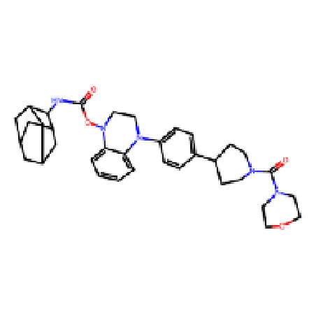 O=C(NC1C2CC3CC(C2)CC1C3)ON1CCN(c2ccc(C3CCN(C(=O)N4CCOCC4)CC3)cc2)c2ccccc21